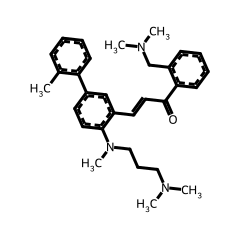 Cc1ccccc1-c1ccc(N(C)CCCN(C)C)c(C=CC(=O)c2ccccc2CN(C)C)c1